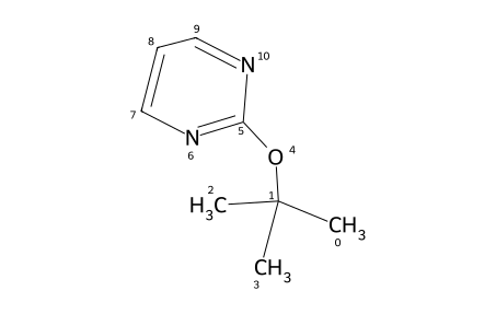 CC(C)(C)Oc1ncccn1